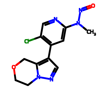 CN(N=O)c1cc(-c2cnn3c2COCC3)c(Cl)cn1